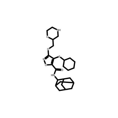 O=C(NC1C2CC3CC(C2)CC1C3)c1onc(OCC2CNCCO2)c1SC1CCCCC1